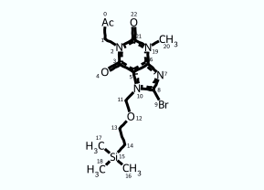 CC(=O)Cn1c(=O)c2c(nc(Br)n2COCC[Si](C)(C)C)n(C)c1=O